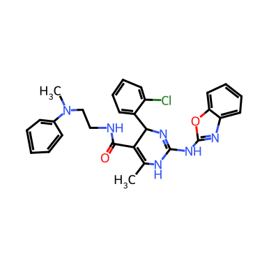 CC1=C(C(=O)NCCN(C)c2ccccc2)C(c2ccccc2Cl)N=C(Nc2nc3ccccc3o2)N1